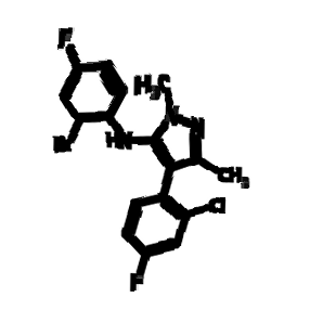 Cc1nn(C)c(Nc2ccc(F)cc2Br)c1-c1ccc(F)cc1Cl